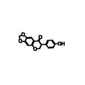 O=C1c2cc3c(cc2OCC1c1ccc(O)cc1)OCO3